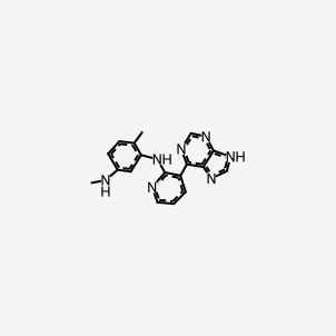 CNc1ccc(C)c(Nc2ncccc2-c2ncnc3[nH]cnc23)c1